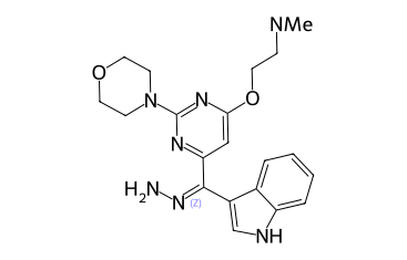 CNCCOc1cc(/C(=N\N)c2c[nH]c3ccccc23)nc(N2CCOCC2)n1